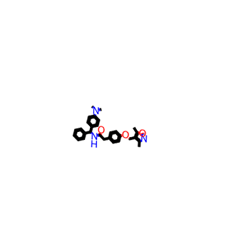 Cc1noc(C)c1COc1ccc(CC(=O)NC(c2ccccc2)c2ccc(N(C)C)cc2)cc1